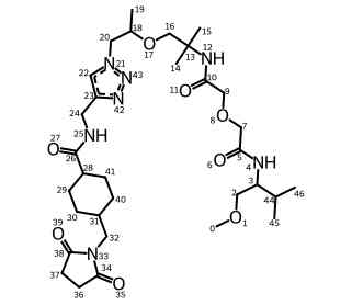 COCC(NC(=O)COCC(=O)NC(C)(C)COC(C)Cn1cc(CNC(=O)C2CCC(CN3C(=O)CCC3=O)CC2)nn1)C(C)C